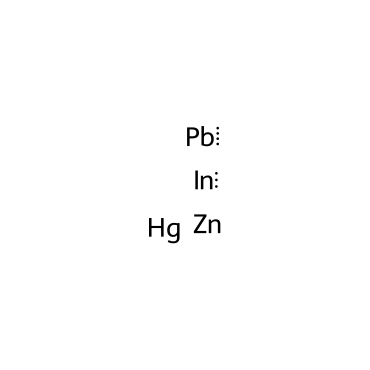 [Hg].[In].[Pb].[Zn]